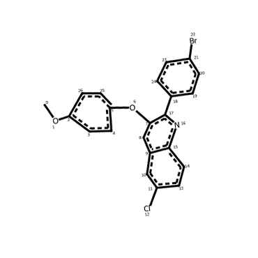 COc1ccc(Oc2cc3cc(Cl)ccc3nc2-c2ccc(Br)cc2)cc1